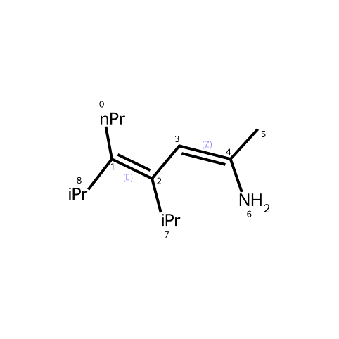 CCC/C(=C(\C=C(\C)N)C(C)C)C(C)C